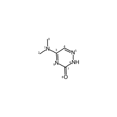 CN(C)c1cn[nH]c(=O)n1